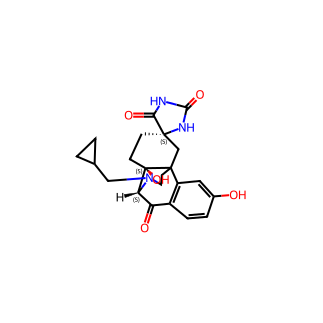 O=C1NC(=O)[C@@]2(CC[C@@]3(O)[C@H]4C(=O)c5ccc(O)cc5C3(CCN4CC3CC3)C2)N1